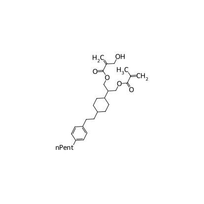 C=C(C)C(=O)OCC(COC(=O)C(=C)CO)C1CCC(CCc2ccc(CCCCC)cc2)CC1